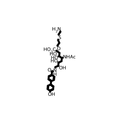 CC(=O)NC(C[C@H](O)C(O)CNC(=O)c1ccc(-c2ccc(O)cc2)cc1)C(O)CC(O)(OCCCSCCN)C(=O)O